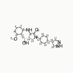 COc1cccc(N[C@H]2C(=O)N(c3ccc(-c4cn[nH]c4)cc3)C[C@@H]2CO)c1